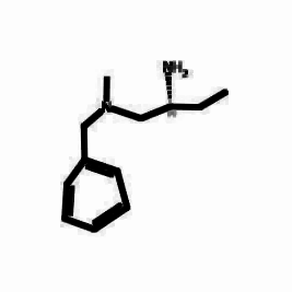 CC[C@@H](N)CN(C)Cc1ccccc1